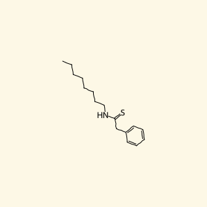 CCCCCCCCNC(=S)Cc1ccccc1